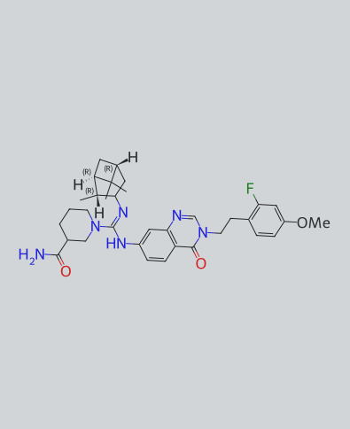 COc1ccc(CCn2cnc3cc(NC(=NC4C[C@H]5C[C@H]([C@H]4C)C5(C)C)N4CCCC(C(N)=O)C4)ccc3c2=O)c(F)c1